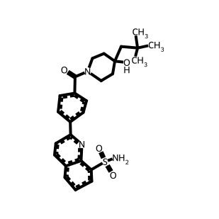 CC(C)(C)CC1(O)CCN(C(=O)c2ccc(-c3ccc4cccc(S(N)(=O)=O)c4n3)cc2)CC1